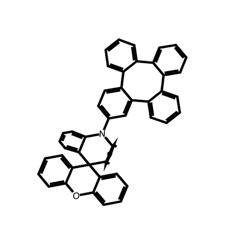 c1ccc2c(c1)Oc1ccccc1C21c2ccccc2N(c2ccc3c(c2)-c2ccccc2-c2ccccc2-c2ccccc2-3)c2ccccc21